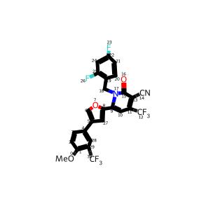 COc1ccc(-c2coc(-c3cc(C(F)(F)F)c(C#N)c(=O)n3Cc3ccc(F)cc3F)c2)cc1C(F)(F)F